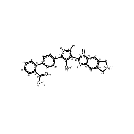 Cn1nc(-c2ccc(-c3ccccc3C(N)=O)cc2)c(O)c1-c1nc2cc3c(cc2[nH]1)CNC3